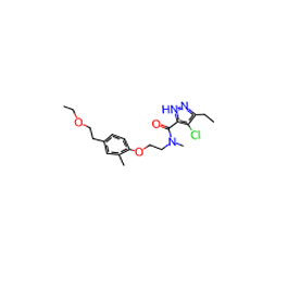 CCOCCc1ccc(OCCN(C)C(=O)c2[nH]nc(CC)c2Cl)c(C)c1